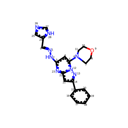 C(=N\Nc1cc(N2CCOCC2)n2nc(-c3ccccc3)cc2n1)/c1cnc[nH]1